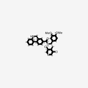 COc1ccc([C@H](Cc2c(Cl)cncc2Cl)OC(=O)c2ccc3c(c2)CNc2ccccc2-3)cc1OC